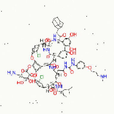 CC[C@H](CC(C)C)C(=O)N[C@H]1C(=O)C[C@@H](CC(=O)NC(=O)Nc2ccc(OCCCNC)cc2)C(=O)N[C@H]2C(=O)C[C@H]3C(=O)N[C@H](C(=O)N[C@H](C(=O)CC4C5CC6CC(C5)CC4C6)c4cc(O)cc(O)c4-c4cc3ccc4O)[C@H](O)c3ccc(c(Cl)c3)Oc3cc2cc(c3O[C@@H]2O[C@H](CN)[C@@H](O)[C@H](O)[C@H]2O)Oc2ccc(cc2Cl)[C@H]1O